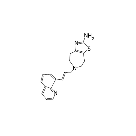 Nc1nc2c(s1)CCN(C/C=C/c1cccc3cccnc13)CC2